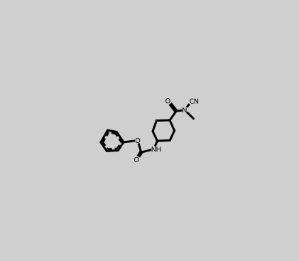 CN(C#N)C(=O)C1CCC(NC(=O)Oc2ccccc2)CC1